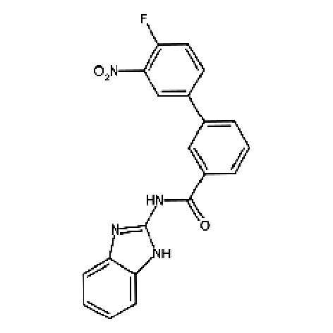 O=C(Nc1nc2ccccc2[nH]1)c1cccc(-c2ccc(F)c([N+](=O)[O-])c2)c1